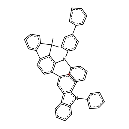 CC1(C)c2ccccc2-c2ccc(-c3ccc4c(c3)c3ccccc3n4-c3ccccc3)c(N(c3ccccc3)c3ccc(-c4ccccc4)cc3)c21